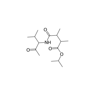 CC(=O)C(NC(=O)C(C)C(C)C(=O)OC(C)C)C(C)C